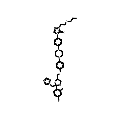 CCCOCCn1ncn(-c2ccc(N3CCN(c4ccc(OCC5COC(Cn6cncn6)(c6ccc(F)cc6F)O5)cc4)CC3)cc2)c1=O